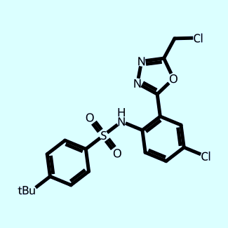 CC(C)(C)c1ccc(S(=O)(=O)Nc2ccc(Cl)cc2-c2nnc(CCl)o2)cc1